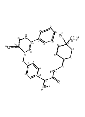 CCC(C)C(C(=O)NCC1CCC(CC)(C(=O)O)CC1)c1ccc(CN2N=C(c3ccccc3)OCC2=O)cc1